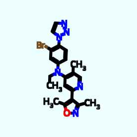 CCN(c1ccc(-n2ccnn2)c(Br)c1)c1cc(-c2c(C)noc2C)ncc1C